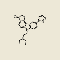 CCN(CC)CCn1c2ccc(-n3ccnn3)cc2c2c3c(ccc21)C(=O)CC3